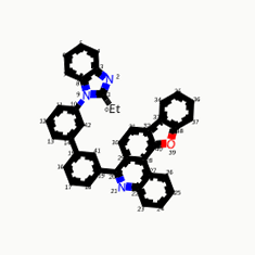 CCc1nc2ccccc2n1-c1cccc(-c2cccc(-c3nc4ccccc4c4c3ccc3c5ccccc5oc34)c2)c1